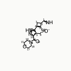 N=CC1CC2=C1[S+]([O-])Cc1c(C(=O)N3CCOCC3)n[nH]c12